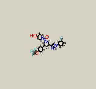 O=C(N1CCC(O)CC1)N1CC(c2ccc(OC(F)(F)F)cc2)CC(c2cn(-c3cccc(F)c3)cn2)C1